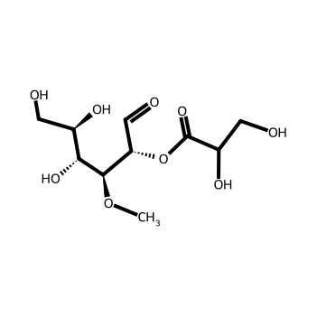 CO[C@@H]([C@H](O)[C@H](O)CO)[C@H](C=O)OC(=O)C(O)CO